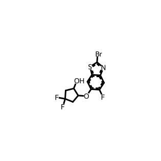 OC1CC(F)(F)CC1Oc1cc2sc(Br)nc2cc1F